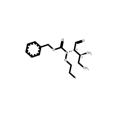 CC[C@H](C)[C@@H]([C]=O)N(OCCI)C(=O)OCc1ccccc1